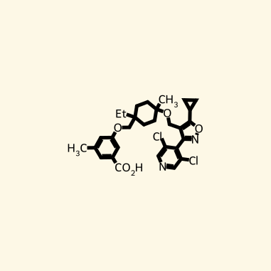 CCC1(COc2cc(C)cc(C(=O)O)c2)CCC(C)(OCc2c(-c3c(Cl)cncc3Cl)noc2C2CC2)CC1